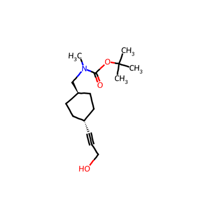 CN(C[C@H]1CC[C@H](C#CCO)CC1)C(=O)OC(C)(C)C